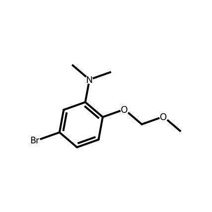 COCOc1ccc(Br)cc1N(C)C